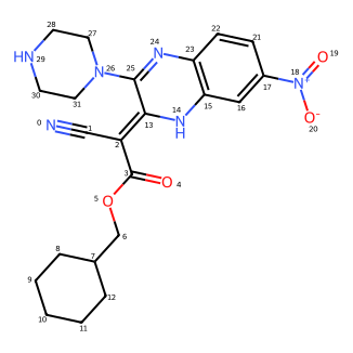 N#CC(C(=O)OCC1CCCCC1)=C1Nc2cc([N+](=O)[O-])ccc2N=C1N1CCNCC1